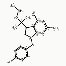 CC(C)(C)[SiH2]OC(C)(C)C1CN(Cc2ccc(F)cc2)c2nc(N)nc(Cl)c21